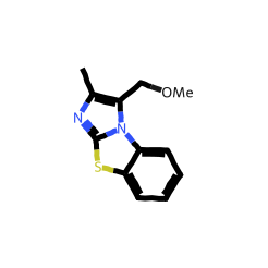 COCc1c(C)nc2sc3ccccc3n12